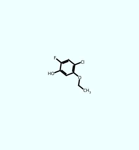 CCOc1cc(O)c(F)[c]c1Cl